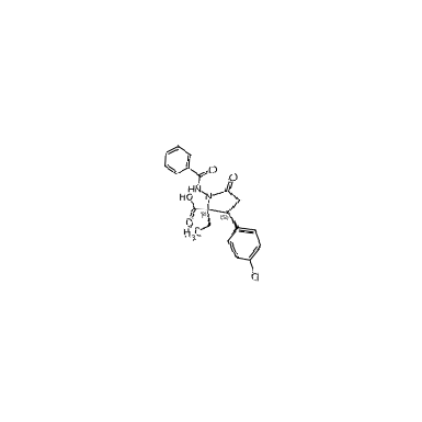 CC[C@]1(C(=O)O)[C@H](c2ccc(Cl)cc2)CC(=O)N1NC(=O)c1ccccc1